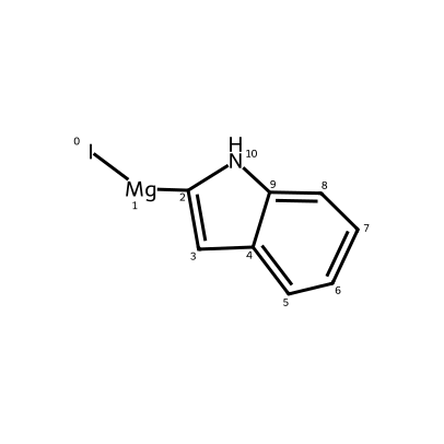 [I][Mg][c]1cc2ccccc2[nH]1